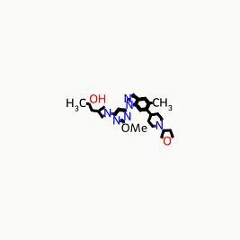 COc1nc(N2CC(CC(C)O)C2)cc(-n2ncc3cc(C)c(C4CCN(C5CCOC5)CC4)cc32)n1